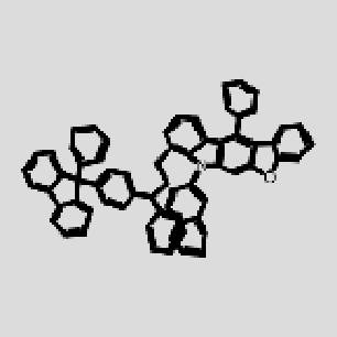 c1ccc(-c2c3c(cc4c2c2cccc(CCC(c5ccccc5)c5ccc(C6(c7ccccc7)c7ccccc7-c7ccccc76)cc5)c2n4-c2ccc4ccccc4c2)oc2ccccc23)cc1